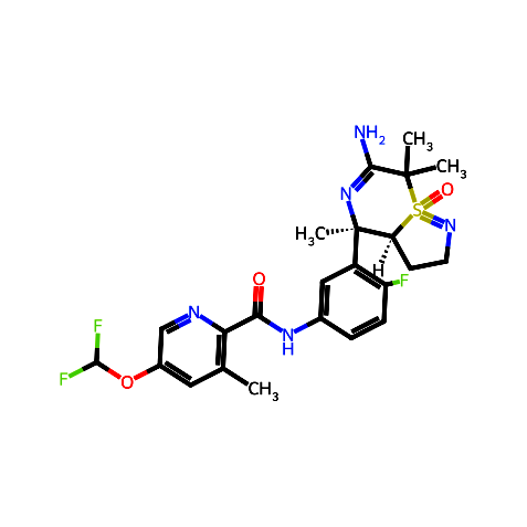 Cc1cc(OC(F)F)cnc1C(=O)Nc1ccc(F)c([C@@]2(C)N=C(N)C(C)(C)S3(=O)=NCC[C@@H]23)c1